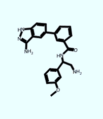 COc1cccc(C(CN)NC(=O)c2cccc(-c3ccc4[nH]nc(N)c4c3)c2)c1